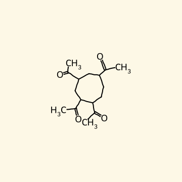 CC(=O)C1CCC(C(C)=O)C(C(C)=O)CC(C(C)=O)C1